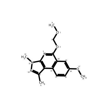 COCOc1nc2c(c(C)nn2C)c2ccc(OC)cc12